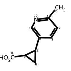 Cc1ccc(C2CC2C(=O)O)cn1